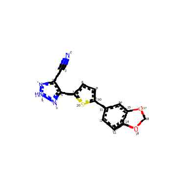 N#Cc1n[nH]nc1-c1ccc(-c2ccc3c(c2)OCO3)s1